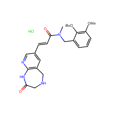 COc1cccc(CN(C)C(=O)C=Cc2cnc3c(c2)CNCC(=O)N3)c1OCC(C)C.Cl